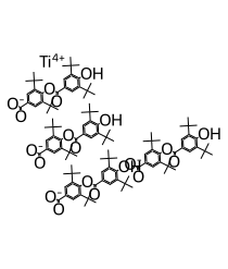 CC(C)(C)c1cc(C(=O)Oc2c(C(C)(C)C)cc(C(=O)[O-])cc2C(C)(C)C)cc(C(C)(C)C)c1O.CC(C)(C)c1cc(C(=O)Oc2c(C(C)(C)C)cc(C(=O)[O-])cc2C(C)(C)C)cc(C(C)(C)C)c1O.CC(C)(C)c1cc(C(=O)Oc2c(C(C)(C)C)cc(C(=O)[O-])cc2C(C)(C)C)cc(C(C)(C)C)c1O.CC(C)(C)c1cc(C(=O)Oc2c(C(C)(C)C)cc(C(=O)[O-])cc2C(C)(C)C)cc(C(C)(C)C)c1O.[Ti+4]